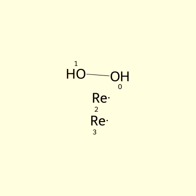 OO.[Re].[Re]